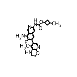 Cc1c(-c2cc3cc(NC(=O)OC4CC(C)C4)ncc3c(N)c2F)cnc2c1NCCO2